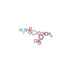 COc1ccc([N+](=O)[O-])cc1O[C@H]1CC[C@H](OC(N)=O)CC1